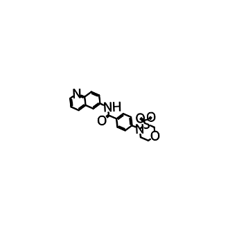 O=C(Nc1ccc2ncccc2c1)c1ccc(N2CCOCS2(=O)=O)cc1